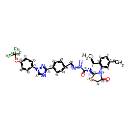 C=Cc1ccc(C)cc1N1C(=O)CS/C1=N\C(=O)N/N=C/c1ccc(-c2ncn(-c3ccc(OC(F)(F)F)cc3)n2)cc1